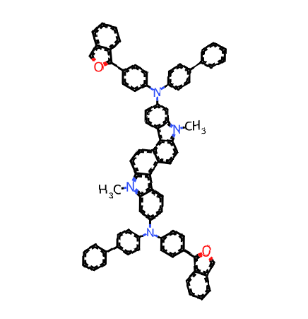 Cn1c2cc(N(c3ccc(-c4ccccc4)cc3)c3ccc(-c4occ5ccccc45)cc3)ccc2c2c3ccc4c(c3ccc21)c1ccc(N(c2ccc(-c3ccccc3)cc2)c2ccc(-c3occ5ccccc35)cc2)cc1n4C